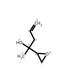 C=CCC(C)(O)C1CO1